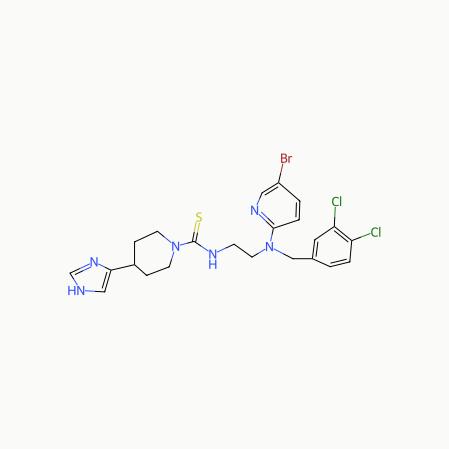 S=C(NCCN(Cc1ccc(Cl)c(Cl)c1)c1ccc(Br)cn1)N1CCC(c2c[nH]cn2)CC1